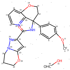 O=C(NC1(c2ccc(OC(F)(F)F)cc2)CCOc2cccnc21)c1cc2n(n1)CCCO2.O=CO